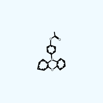 CC(=O)Oc1ccc([S+]2c3ccccc3Oc3ccccc32)cc1